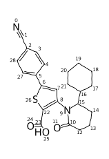 N#Cc1ccc(-c2cc(N3C(=O)CCCC3C3CCCCC3)c(C(=O)O)s2)cc1